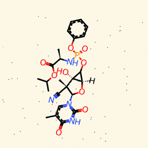 Cc1cn([C@@H]2O[C@@H]3C(OP(=O)(N[C@H](C)C(=O)OC(C)C)Oc4ccccc4)[C@]3(O)[C@@]2(C)C#N)c(=O)[nH]c1=O